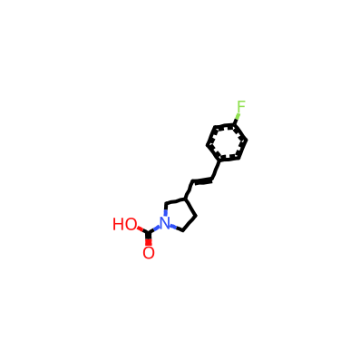 O=C(O)N1CCC(/C=C/c2ccc(F)cc2)C1